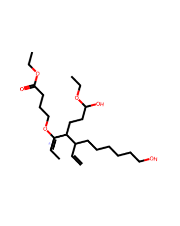 C=CC(CCCCCCO)C(CCC(O)OCC)/C(=C\C)OCCCC(=O)OCC